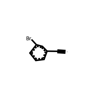 [C]#Cc1cccc(Br)c1